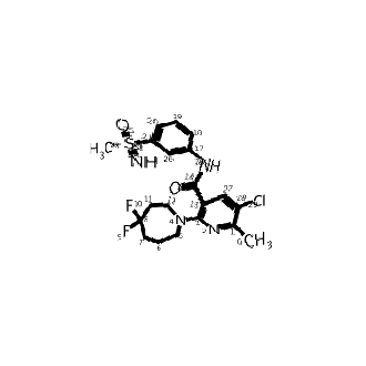 Cc1nc(N2CCCC(F)(F)CC2)c(C(=O)Nc2cccc([S@@](C)(=N)=O)c2)cc1Cl